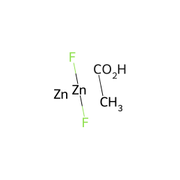 CC(=O)O.[F][Zn][F].[Zn]